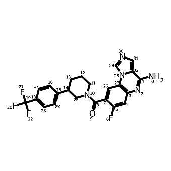 Nc1nc2cc(F)c(C(=O)N3CCCC(c4ccc(C(F)(F)F)cc4)C3)cc2n2cncc12